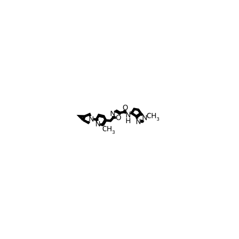 Cc1nc(N2CC3CC3C2)ccc1Cc1ncc(C(=O)N[C@@H]2CCc3c2ncn3C)o1